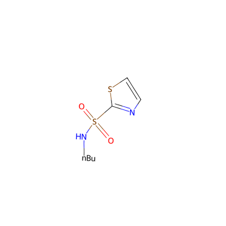 CCCCNS(=O)(=O)c1nccs1